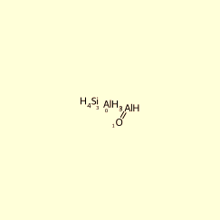 [AlH3].[O]=[AlH].[SiH4]